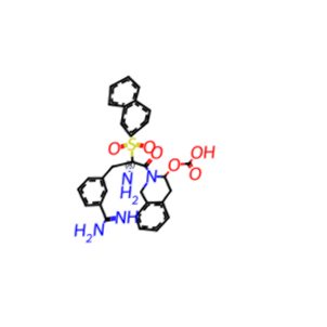 N=C(N)c1cccc(C[C@](N)(C(=O)N2Cc3ccccc3CC2OC(=O)O)S(=O)(=O)c2ccc3ccccc3c2)c1